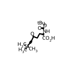 CC(C)(C)OC(=O)N[C@@H](CCC(=O)C#C[Si](C)(C)C)C(=O)O